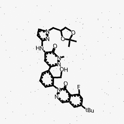 Cn1nc(-c2cccc(-n3ncc4cc(C(C)(C)C)cc(F)c4c3=O)c2CO)cc(Nc2ccn(CC3COC(C)(C)O3)n2)c1=O